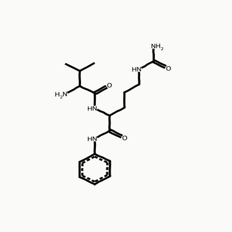 CC(C)C(N)C(=O)NC(CCCNC(N)=O)C(=O)Nc1cc[c]cc1